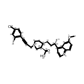 COc1ccc2nccc([C@@H](F)CC[C@@H]3CCN(CC#Cc4ccc(Cl)cc4F)C[C@@H]3C(=O)O)c2c1